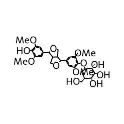 COc1cc(C2OCC3C(c4cc(OC)c(OC5C[C@H](CO)[C@@H](O)[C@H](O)[C@H]5O)c(OC)c4)OCC23)cc(OC)c1O